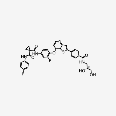 O=C(NC[C@@H](O)CO)c1ccc(-c2cc3nccc(Oc4ccc(NC(=O)C5(C(=O)Nc6ccc(F)cc6)CC5)cc4F)c3s2)cc1